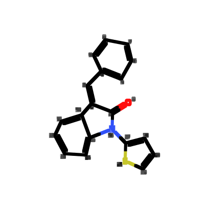 O=C1C(=Cc2ccccc2)c2ccccc2N1c1cccs1